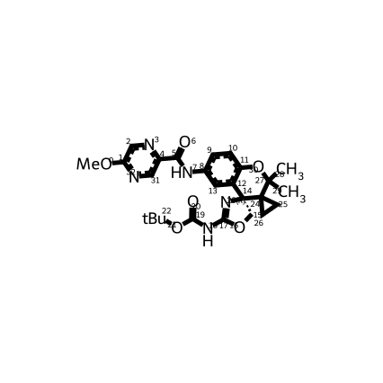 COc1cnc(C(=O)Nc2ccc3c(c2)[C@@]2(COC(NC(=O)OC(C)(C)C)=N2)C2(CC2)C(C)(C)O3)cn1